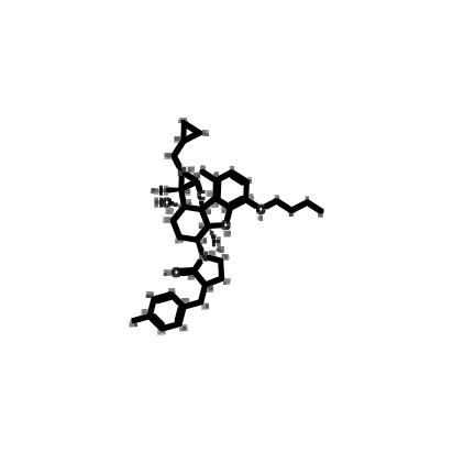 CCCCOc1ccc(C)c2c1O[C@H]1[C@@H](N3CCC(Cc4ccc(C)cc4)C3=O)CC[C@@]3(O)[C@H]4C(C[C@]213)N4CC1CC1